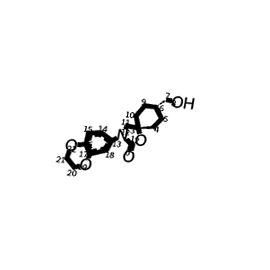 O=C1O[C@]2(CC[C@@H](CO)CC2)CN1c1ccc2c(c1)OCCO2